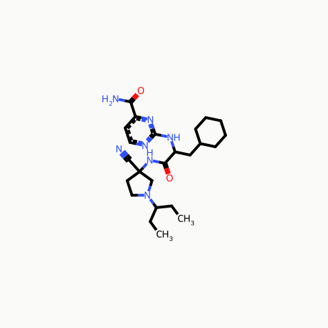 CCC(CC)N1CCC(C#N)(NC(=O)C(CC2CCCCC2)Nc2nccc(C(N)=O)n2)C1